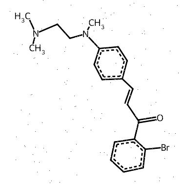 CN(C)CCN(C)c1ccc(C=CC(=O)c2ccccc2Br)cc1